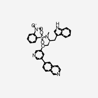 CN([C@H](COc1cncc(-c2ccc3cnccc3c2)c1)Cc1c[nH]c2ccccc12)S(=O)(=O)c1ccccc1[N+](=O)[O-]